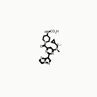 C[C@@H](C1CC1)N(C)c1cc(C(=O)N2CCC(NC(=O)O)CC2)nc(-c2cnn3ccsc23)n1